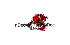 C=CC(=O)OC(OC(=O)C=C)C(CC)C[O][Ti+2]([O]CC(CC)C(OC(=O)C=C)OC(=O)C=C)([O]CC(CC)C(OC(=O)C=C)OC(=O)C=C)[O]CC(CC)C(OC(=O)C=C)OC(=O)C=C.CCCCCCCCCCCCCOP([O-])OCCCCCCCCCCCCC.CCCCCCCCCCCCCOP([O-])OCCCCCCCCCCCCC